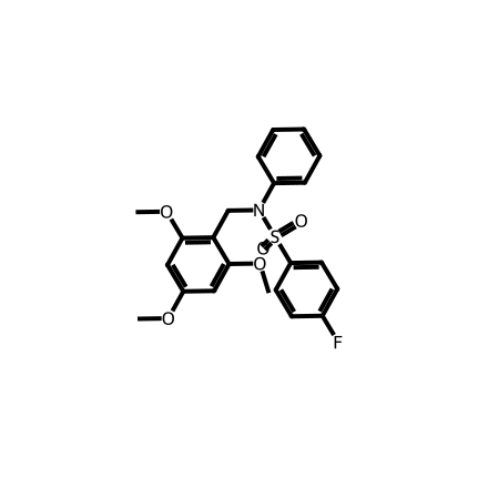 COc1cc(OC)c(CN(c2ccccc2)S(=O)(=O)c2ccc(F)cc2)c(OC)c1